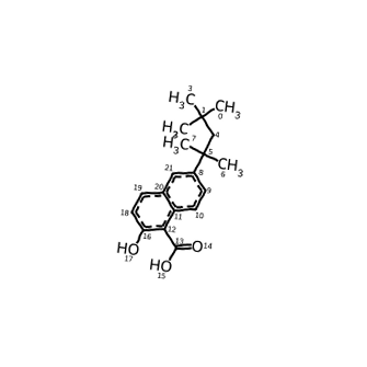 CC(C)(C)CC(C)(C)c1ccc2c(C(=O)O)c(O)ccc2c1